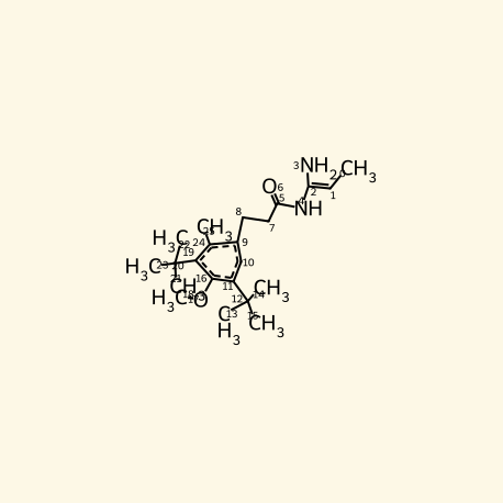 CC=C(N)NC(=O)CCc1cc(C(C)(C)C)c(OC)c(C(C)(C)C)c1C